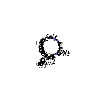 CO[C@H]1C[C@@H]2CC[C@@H](C)[C@@](O)(O2)C(=O)C(=O)N2CCCC[C@H]2C(=O)O[C@H]([C@H](N)C[C@@H]2CCC(O[Si](C)(C)C(C)(C)C)[C@H](OC)C2)C[C@@H](O)[C@H](C)/C=C(\C)[C@@H](OC)[C@@H](OC)C(=O)[C@H](C)C[C@H](C)/C=C/C=C/C=C/1C